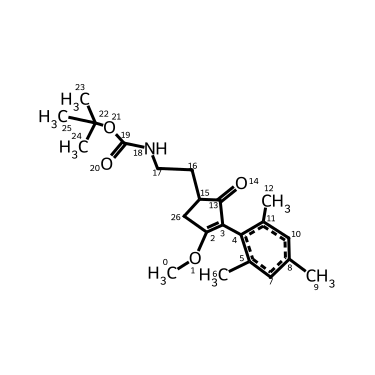 COC1=C(c2c(C)cc(C)cc2C)C(=O)C(CCNC(=O)OC(C)(C)C)C1